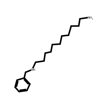 NCCCCCCCCCCCNCc1ccccc1